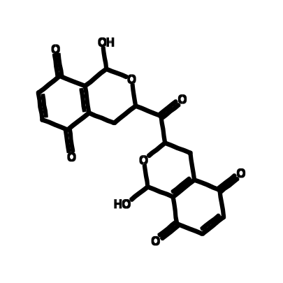 O=C1C=CC(=O)C2=C1CC(C(=O)C1CC3=C(C(=O)C=CC3=O)C(O)O1)OC2O